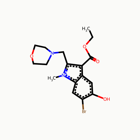 CCOC(=O)c1c(CN2CCOCC2)n(C)c2cc(Br)c(O)cc12